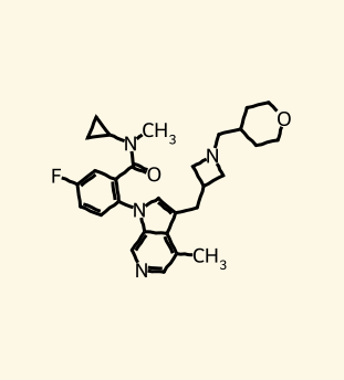 Cc1cncc2c1c(CC1CN(CC3CCOCC3)C1)cn2-c1ccc(F)cc1C(=O)N(C)C1CC1